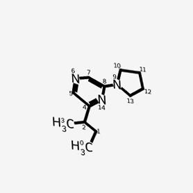 CCC(C)c1cncc(N2CCCC2)n1